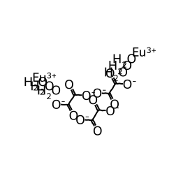 O.O.O.O.O.O.O=C([O-])C(=O)[O-].O=C([O-])C(=O)[O-].O=C([O-])C(=O)[O-].[Eu+3].[Eu+3]